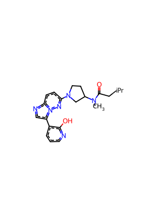 CC(C)CC(=O)N(C)C1CCN(c2ccc3ncc(-c4cccnc4O)n3n2)C1